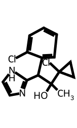 CC(O)(C(c1ncc[nH]1)c1ccccc1Cl)C1(Cl)CC1